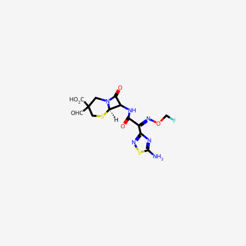 Nc1nc(C(=NOCF)C(=O)NC2C(=O)N3CC(C=O)(C(=O)O)CS[C@H]23)ns1